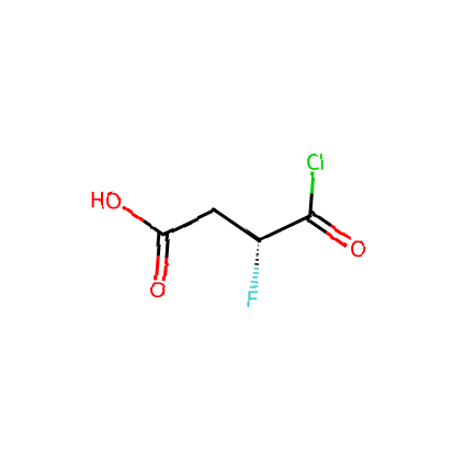 O=C(O)C[C@@H](F)C(=O)Cl